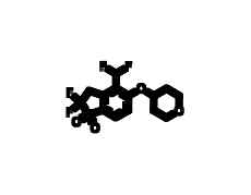 O=S1(=O)c2ccc(OC3CCOCC3)c(C(F)F)c2CC1(F)F